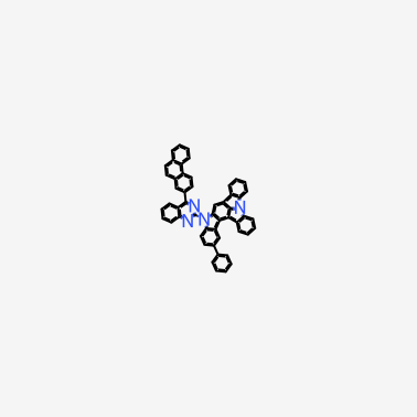 c1ccc(-c2ccc3c(c2)c2c4c5ccccc5n5c6ccccc6c(cc2n3-c2nc(-c3ccc6c(ccc7ccccc76)c3)c3ccccc3n2)c45)cc1